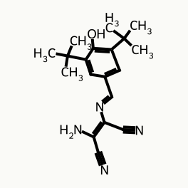 CC(C)(C)c1cc(C=NC(C#N)=C(N)C#N)cc(C(C)(C)C)c1O